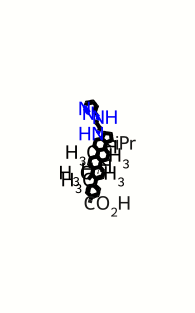 CC(C)[C@@H]1CC[C@]2(NCCNc3cccnn3)CC[C@]3(C)C(CC[C@@H]4[C@@]5(C)CC=C(c6ccc(C(=O)O)cc6)C(C)(C)[C@@H]5CC[C@]43C)[C@@H]12